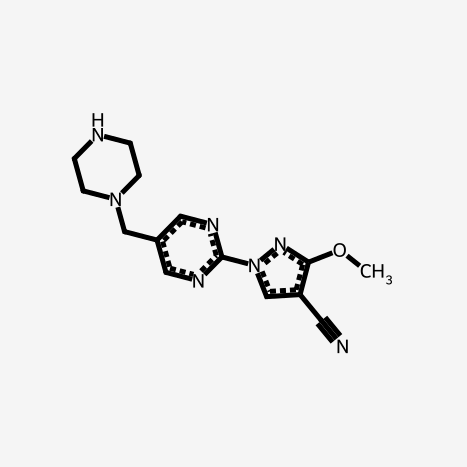 COc1nn(-c2ncc(CN3CCNCC3)cn2)cc1C#N